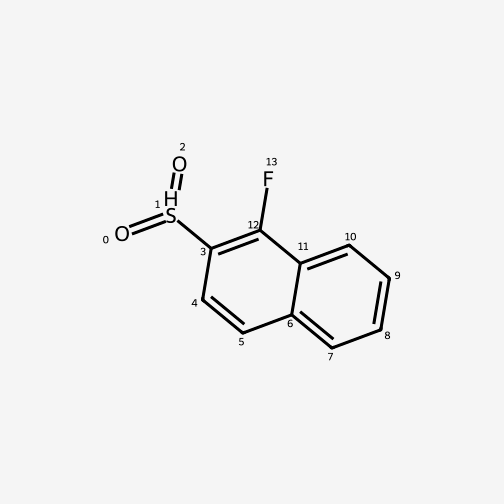 O=[SH](=O)c1ccc2ccccc2c1F